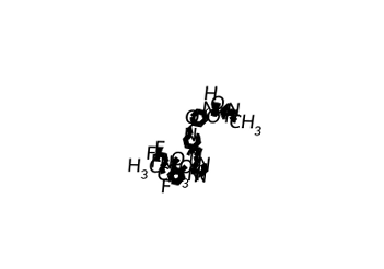 CC(C)N(CC(F)(F)F)C(=O)c1cc(F)ccc1Oc1nncnc1N1CC2(CCN(C[C@@H]3CC[C@@H](NS(=O)(=O)c4cnn(C)c4)CO3)CC2)C1